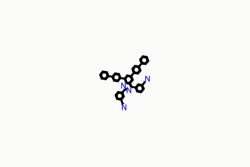 N#Cc1cccc(-c2nc(-c3cccc(C#N)c3)c3cc(-c4ccc(-c5ccccc5)cc4)cc(-c4ccc(-c5ccccc5)cc4)c3n2)c1